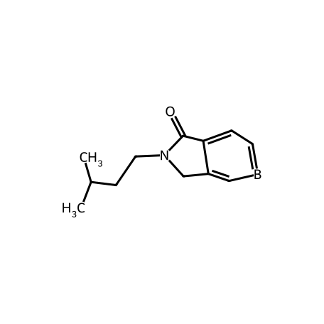 CC(C)CCN1Cc2cbccc2C1=O